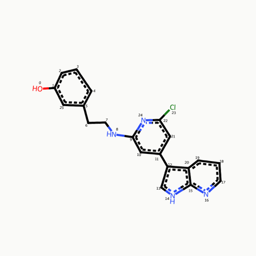 Oc1cccc(CCNc2cc(-c3c[nH]c4ncccc34)cc(Cl)n2)c1